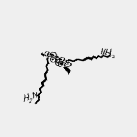 CCOP(=O)(CCCCCCCCCCC(N)CC)OP(C)(=O)OP(=O)(CCCCCCCCCCC(N)CC)OCC